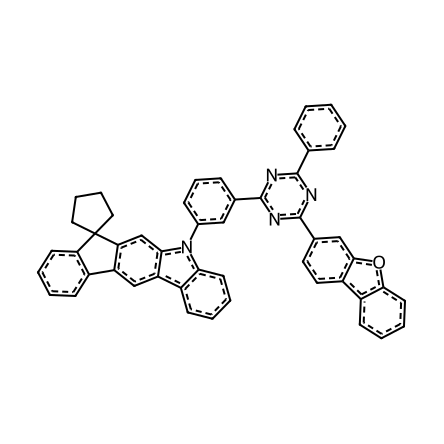 c1ccc(-c2nc(-c3cccc(-n4c5ccccc5c5cc6c(cc54)C4(CCCC4)c4ccccc4-6)c3)nc(-c3ccc4c(c3)oc3ccccc34)n2)cc1